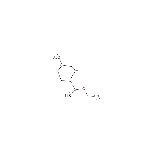 C=COC(C)C1CCC(OC(C)=O)CC1